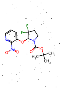 CC(C)(C)OC(=O)N1CCC(F)(F)[C@@H]1Oc1cccnc1[N+](=O)[O-]